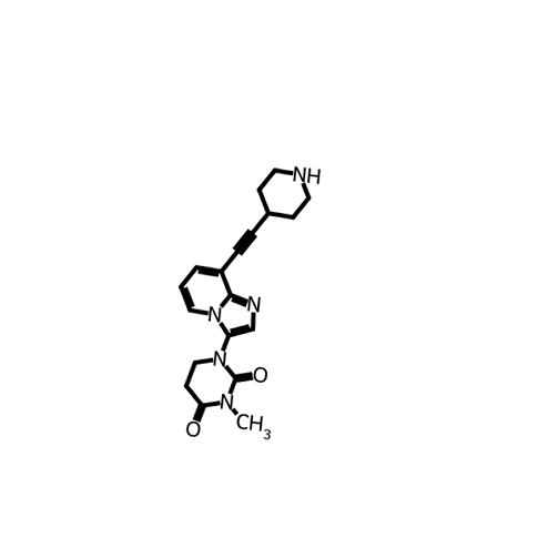 CN1C(=O)CCN(c2cnc3c(C#CC4CCNCC4)cccn23)C1=O